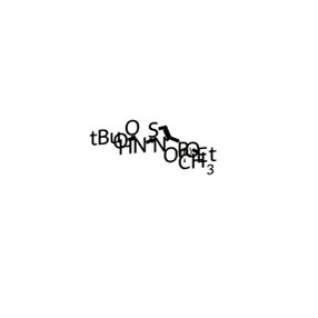 CCO[P@@](C)(=O)Cc1csc(NC(=O)OC(C)(C)C)n1